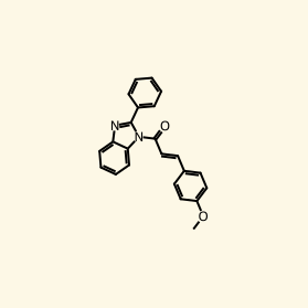 COc1ccc(/C=C/C(=O)n2c(-c3ccccc3)nc3ccccc32)cc1